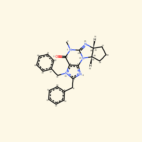 CN1C(=O)c2c(nc(Cc3ccccc3)n2Cc2ccccc2)N2C1=N[C@@H]1CCC[C@@H]12